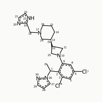 CC(c1c(Cl)cc(Cl)cc1N1CC([C@@H]2CCCN(Cc3ncc[nH]3)C2)C1)n1cccn1